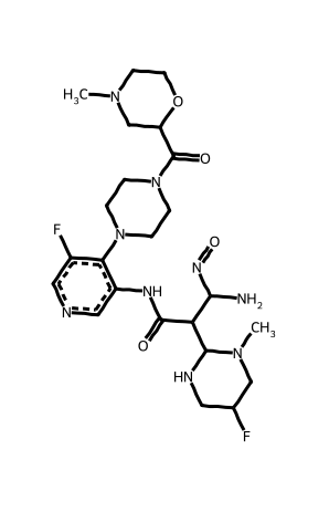 CN1CCOC(C(=O)N2CCN(c3c(F)cncc3NC(=O)C(C(N)N=O)C3NCC(F)CN3C)CC2)C1